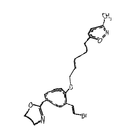 Cc1cc(CCCCCOc2ccc(C3=NCCO3)cc2/C=C/Br)on1